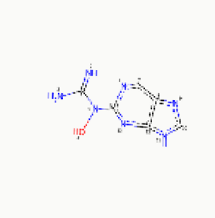 N=C(N)N(O)c1ncc2nc[nH]c2n1